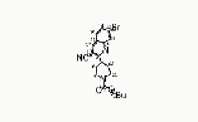 CC(C)(C)OC(=O)N1CCC(c2nc3cc(Br)ccc3cc2C#N)CC1